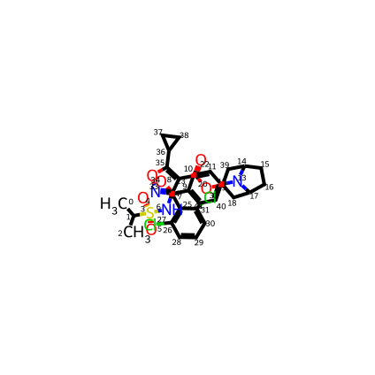 CC(C)S(=O)(=O)NC(=O)c1ccc(N2C3CCC2CC(OC(=O)c2c(-c4c(Cl)cccc4Cl)noc2C2CC2)C3)cc1